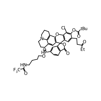 CCC(=O)CCc1cc2c(c(Cl)c1OC(=O)C(C)(C)C)Oc1c(cc3c4c1CCCN4CCC3)C21OC(=O)c2ccc([PH](=O)OCCCCNC(=O)C(F)(F)F)cc21